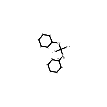 FC(F)(OC1CCCCC1)OC1CCCCC1